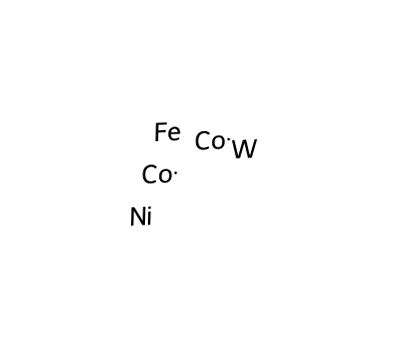 [Co].[Co].[Fe].[Ni].[W]